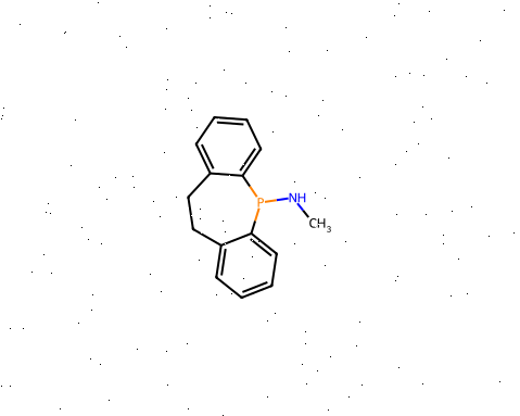 CNP1c2ccccc2CCc2ccccc21